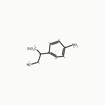 CCOC(=O)C(CC#N)c1ccc([N+](=O)[O-])cc1